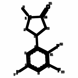 CN1CC(c2cc(F)cc(F)c2F)CC1=O